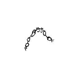 Fc1ccc(-c2ccc(-c3ccc(-c4ccc(-c5ccc(-c6ccc(-c7ccc(F)cc7)cc6)s5)s4)s3)cc2)cc1